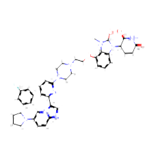 CN1c2c(OCCN3CCN(c4cccc(-c5cnc6ccc(N7CCC[C@@H]7c7cccc(F)c7)cn56)n4)CC3)cccc2N(C2CCC(=O)NC2=O)C1O